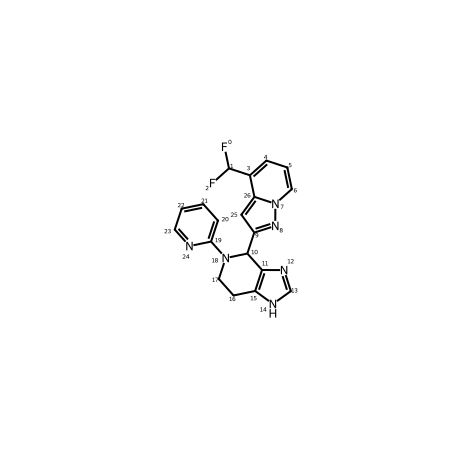 FC(F)c1cccn2nc(C3c4nc[nH]c4CCN3c3ccccn3)cc12